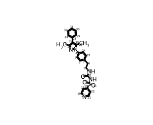 Cc1nn(-c2ccc(CCNC(=O)NS(=O)(=O)c3ccncc3)cc2)c(C)c1-c1ccccc1